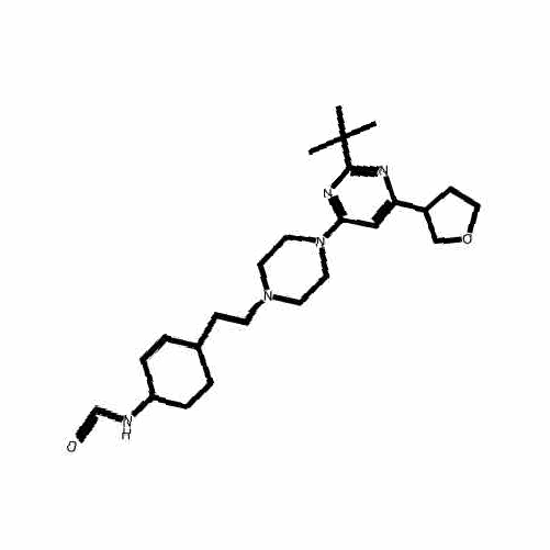 CC(C)(C)c1nc(C2CCOC2)cc(N2CCN(CCC3CCC(NC=O)CC3)CC2)n1